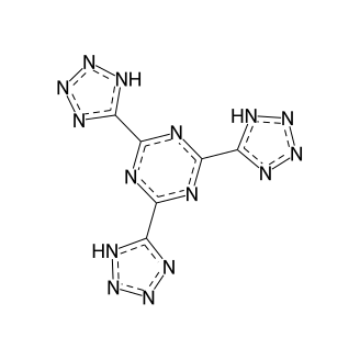 n1n[nH]c(-c2nc(-c3nnn[nH]3)nc(-c3nnn[nH]3)n2)n1